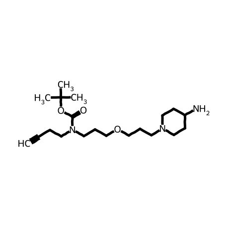 C#CCCN(CCCOCCCN1CCC(N)CC1)C(=O)OC(C)(C)C